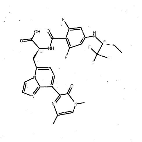 CC[C@@H](Nc1cc(F)c(C(=O)N[C@@H](Cc2ccc(-c3nc(C)cn(C)c3=O)c3nccn23)C(=O)O)c(F)c1)C(F)(F)F